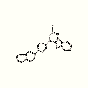 Clc1nc(-c2ccc(-c3ccc4ccccc4c3)cc2)c2sc3ccccc3c2n1